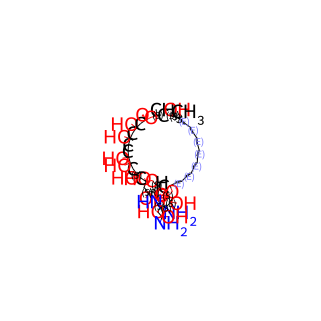 C[C@H]1C[C@H](O)[C@@H](C)/C=C/C=C/C=C/C=C/C=C/C=C/C=C/C(O[C@@H]2OC[C@@H](O)[C@H](N)[C@@H]2O)C[C@@H]2OC(O)(C[C@@H](O)CC(O)C(O)CCC(O)CC(O)CC(=O)O1)C[C@H](O)[C@H]2C(=O)NCCC(N)O